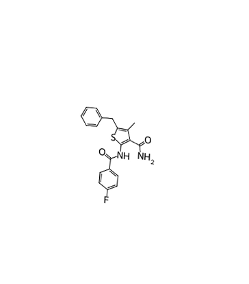 Cc1c(Cc2ccccc2)sc(NC(=O)c2ccc(F)cc2)c1C(N)=O